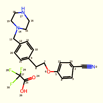 N#Cc1ccc(OCCc2ccc(CN3CCNCC3)cc2)cc1.O=C(O)C(F)(F)F